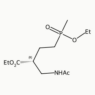 CCOC(=O)[C@H](CCP(C)(=O)OCC)CNC(C)=O